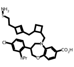 CCCc1cc(Cl)ccc1C1COc2ccc(C(=O)O)cc2N(CC2CCC2CC2=CC(CCSN)C2)C1